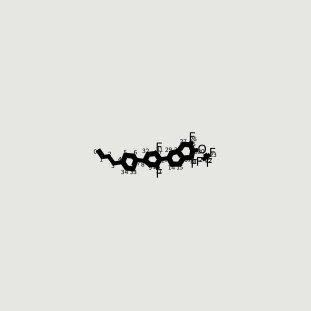 C=CCCc1ccc(-c2cc(F)c(-c3ccc4c(F)c(OC(F)(F)F)c(F)cc4c3)c(F)c2)cc1